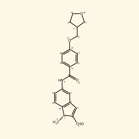 Cn1c(C=O)cc2cc(NC(=O)c3ccc(OCC4CCOC4)cc3)ccc21